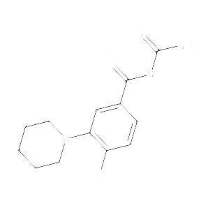 N=C(N)NC(=O)c1ccc(Cl)c(N2CCCCC2)c1